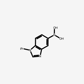 CC(C)n1cnc2cc(N(O)O)ccc21